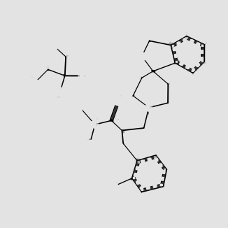 Cc1ccccc1CC(CN1CCC2(CC1)OCc1ccccc12)C(=O)N(C)C.O=C(O)CC(O)(CC(=O)O)C(=O)O